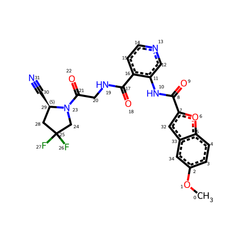 COc1ccc2oc(C(=O)Nc3cnccc3C(=O)NCC(=O)N3CC(F)(F)C[C@H]3C#N)cc2c1